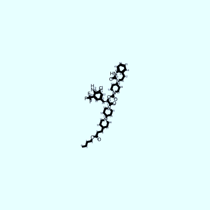 CCCCOC(=O)CCC1CCN(C2CCN(C(=O)[C@@H](Cc3cc(Cl)c(N)c(C(F)(F)F)c3)OC(=O)N3CCC(N4CCc5ccccc5NC4=O)CC3)CC2)CC1